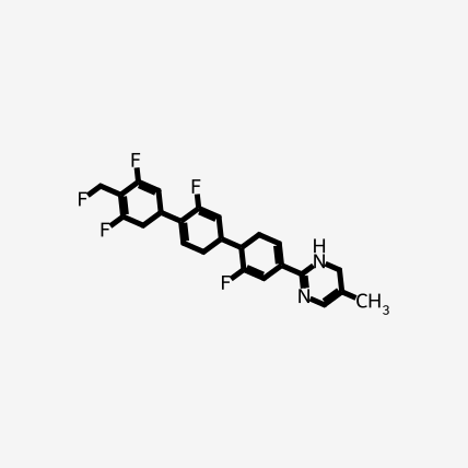 CC1=CN=C(C2=CCC(C3C=C(F)C(C4C=C(F)C(CF)=C(F)C4)=CC3)C(F)=C2)NC1